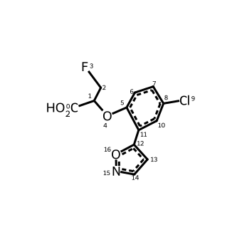 O=C(O)C(CF)Oc1ccc(Cl)cc1-c1ccno1